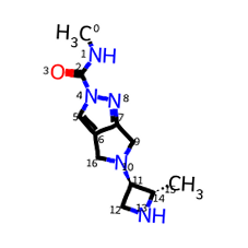 CNC(=O)n1cc2c(n1)CN([C@@H]1CN[C@H]1C)C2